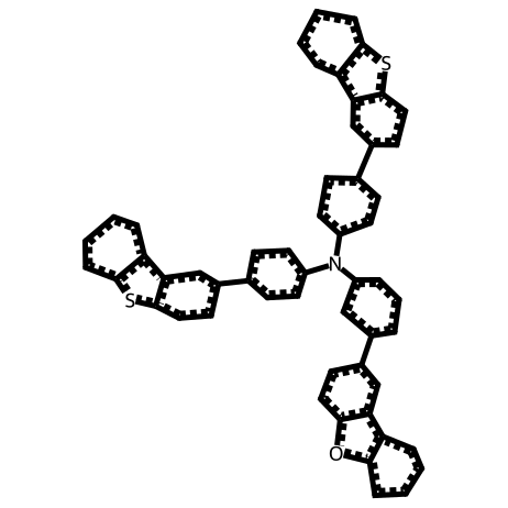 c1cc(-c2ccc3oc4ccccc4c3c2)cc(N(c2ccc(-c3ccc4sc5ccccc5c4c3)cc2)c2ccc(-c3ccc4sc5ccccc5c4c3)cc2)c1